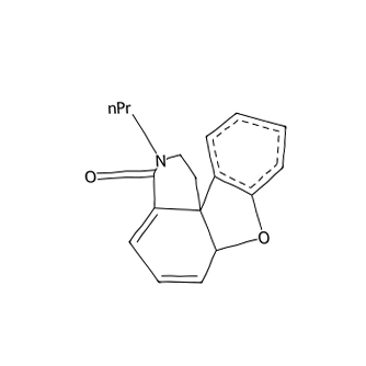 CCCN1CCC23C(=CC=CC2Oc2ccccc23)C1=O